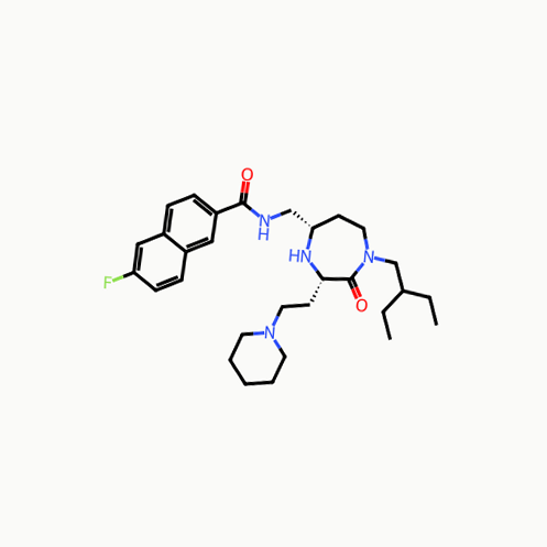 CCC(CC)CN1CC[C@@H](CNC(=O)c2ccc3cc(F)ccc3c2)N[C@@H](CCN2CCCCC2)C1=O